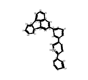 c1ccc(-c2ccc(-c3cccc(-c4cc5c6c(cccc6c4)-c4ccccc4-5)c3)cn2)cc1